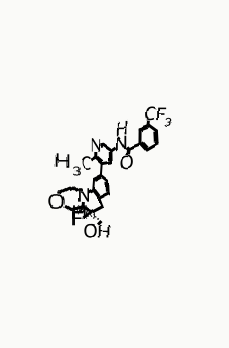 Cc1ncc(NC(=O)c2cccc(C(F)(F)F)c2)cc1-c1ccc2c(c1)N1CCOC[C@H]1[C@](CO)(CF)C2